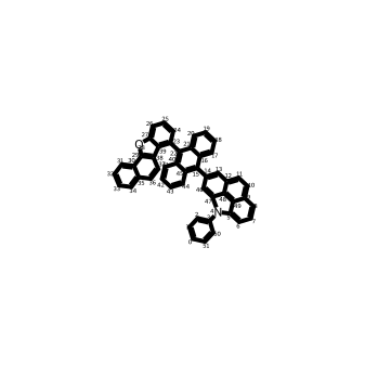 c1ccc(-n2c3cccc4ccc5cc(-c6c7ccccc7c(-c7cccc8oc9c%10ccccc%10ccc9c78)c7ccccc67)cc2c5c43)cc1